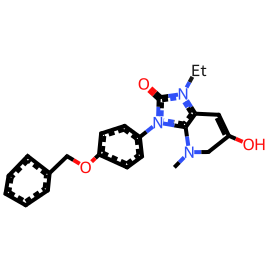 CCn1c2c(n(-c3ccc(OCc4ccccc4)cc3)c1=O)N(C)CC(O)=C2